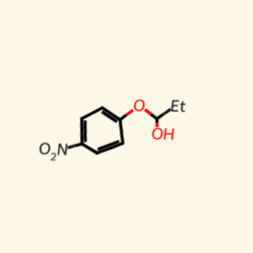 [CH2]CC(O)Oc1ccc([N+](=O)[O-])cc1